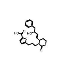 O=C(O)c1ccc(CCCN2C(=O)SCC[C@@H]2/C=C/[C@@H](O)Cc2ccccc2)s1